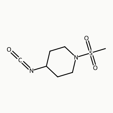 CS(=O)(=O)N1CCC(N=C=O)CC1